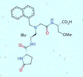 CC[C@H](C)[C@@H](CN(CC(=O)N[C@@H](COC)C(=O)O)Cc1cccc2ccccc12)NC(=O)[C@@H]1CCC(=O)N1